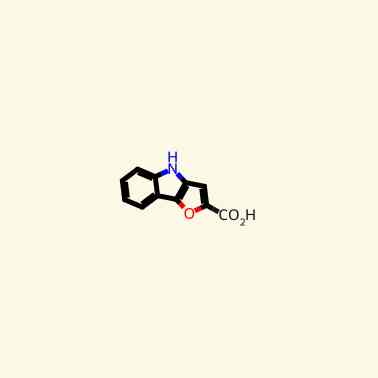 O=C(O)c1cc2[nH]c3ccccc3c2o1